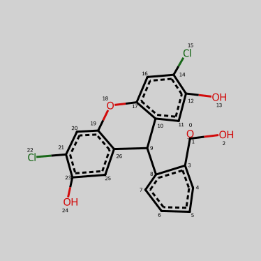 O=C(O)c1ccccc1C1c2cc(O)c(Cl)cc2Oc2cc(Cl)c(O)cc21